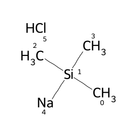 C[Si](C)(C)[Na].Cl